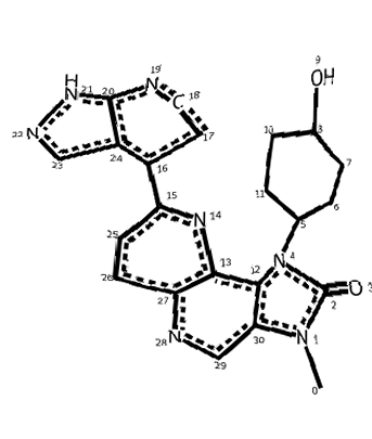 Cn1c(=O)n(C2CCC(O)CC2)c2c3nc(-c4ccnc5[nH]ncc45)ccc3ncc21